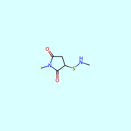 CNSC1CC(=O)N(C)C1=O